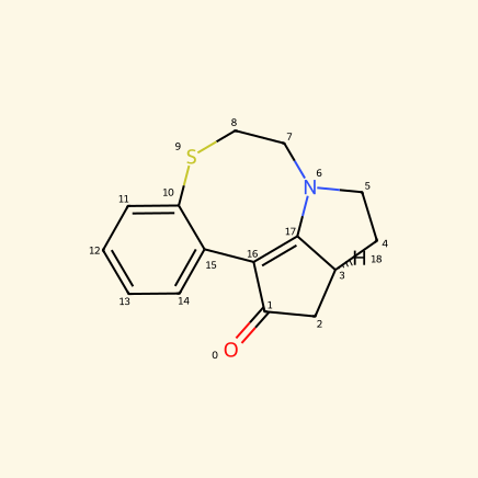 O=C1C[C@@H]2CCN3CCSc4ccccc4C1=C23